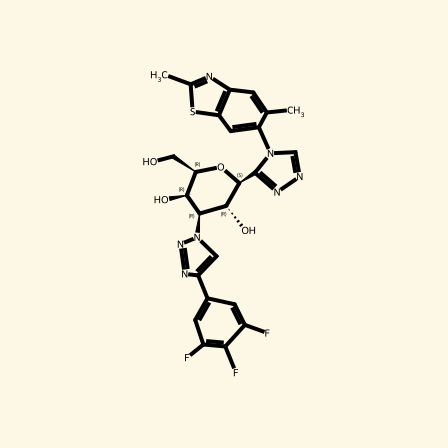 Cc1nc2cc(C)c(-n3cnnc3[C@@H]3O[C@H](CO)[C@H](O)[C@H](n4cc(-c5cc(F)c(F)c(F)c5)nn4)[C@H]3O)cc2s1